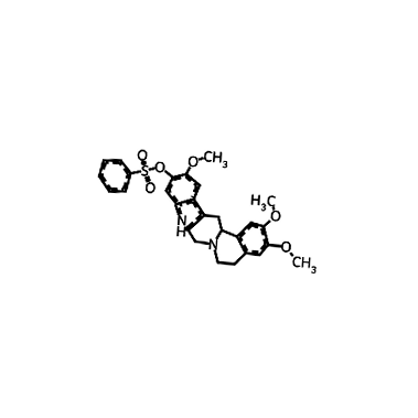 COc1cc2c(cc1OC)C1Cc3c([nH]c4cc(OS(=O)(=O)c5ccccc5)c(OC)cc34)CN1CC2